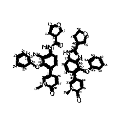 Cn1cc(-c2ccc(NC(=O)C3CCOC3)c(N)c2Oc2ccccc2)ccc1=O.Cn1cc(-c2ccc3[nH]c(C4CCOC4)nc3c2Oc2ccccc2)ccc1=O